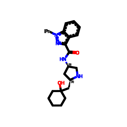 CC(C)n1nc(C(=O)N[C@@H]2CN[C@H](CC3(O)CCCCC3)C2)c2ccccc21